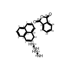 C1=Cc2cccc3cccc(c23)C1.N=N.N=N.O=C1OC(=O)c2ccccc21